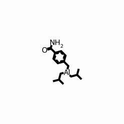 CC(C)[CH2][Al]([CH2]c1ccc(C(N)=O)cc1)[CH2]C(C)C